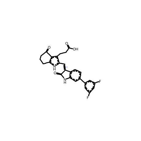 O=C(O)CCc1c(/C=C2\C(=O)Nc3cc(-c4cc(F)cc(F)c4)ccc32)[nH]c2c1C(=O)CCC2